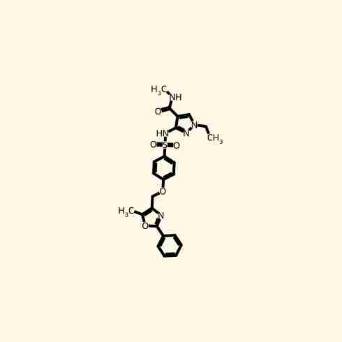 CCn1cc(C(=O)NC)c(NS(=O)(=O)c2ccc(OCc3nc(-c4ccccc4)oc3C)cc2)n1